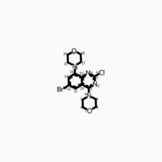 Clc1nc(N2CCOCC2)c2cc(Br)cc(N3CCOCC3)c2n1